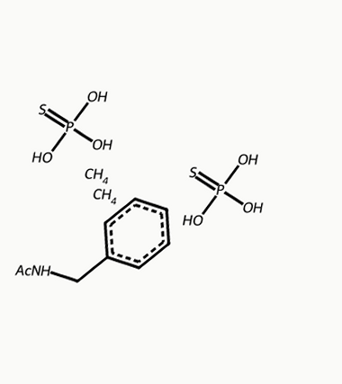 C.C.CC(=O)NCc1ccccc1.OP(O)(O)=S.OP(O)(O)=S